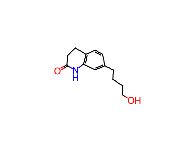 O=C1CCc2ccc(CCCCO)cc2N1